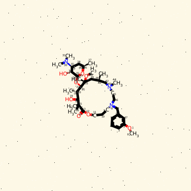 COc1cccc(CN2CCCOC(=O)C(C)(C)C(O)[C@H](C)[C@@H](O[C@@H]3O[C@H](C)C[C@H](N(C)C)[C@H]3O)[C@](C)(OC)C[C@@H](C)CN(C)CC2)c1